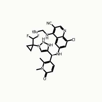 Cc1c([C@H](Nc2cc(Cl)c3ncc(C#N)c(NCC(C)(C)C)c3c2)C2=CN(C3(C(F)F)CC3)NN2)ccc(=O)n1C